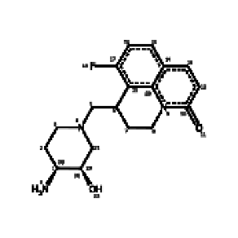 N[C@H]1CCN(CC2CCn3c(=O)ccc4ccc(F)c2c43)C[C@H]1O